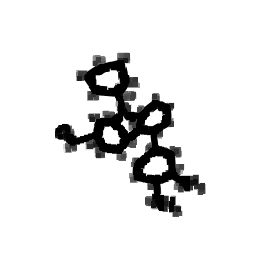 Nc1ccc(-c2cccc3c2c2ccc(C=O)cc2n3-c2ccccc2)cc1N